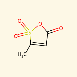 CC1=CC(=O)OS1(=O)=O